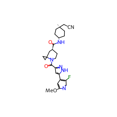 COc1cc(-c2cc(C(=O)N3CC[C@H](C(=O)N[C@H]4CC[C@](C)(CC#N)CC4)CC34CC4)n[nH]2)c(F)cn1